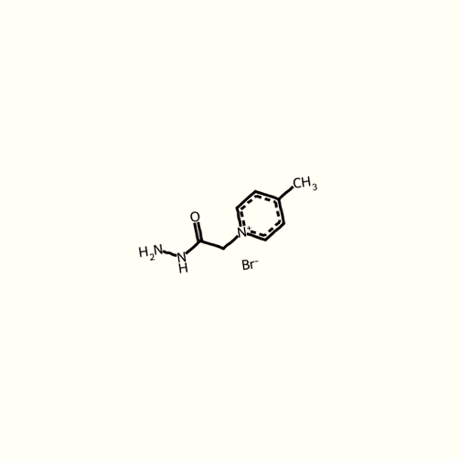 Cc1cc[n+](CC(=O)NN)cc1.[Br-]